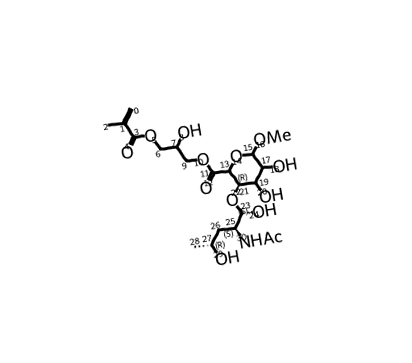 C=C(C)C(=O)OCC(O)COC(=O)C1OC(OC)C(O)C(O)[C@H]1O[C@H](O)[C@H](C[C@@H](C)O)NC(C)=O